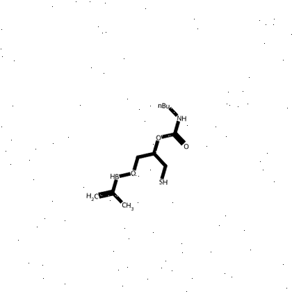 C=C(C)BOCC(CS)OC(=O)NCCCC